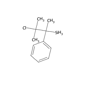 CC(C)(Cl)C(C)([SiH3])c1ccccc1